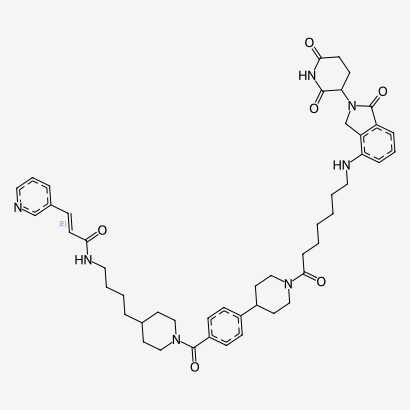 O=C(/C=C/c1cccnc1)NCCCCC1CCN(C(=O)c2ccc(C3CCN(C(=O)CCCCCCNc4cccc5c4CN(C4CCC(=O)NC4=O)C5=O)CC3)cc2)CC1